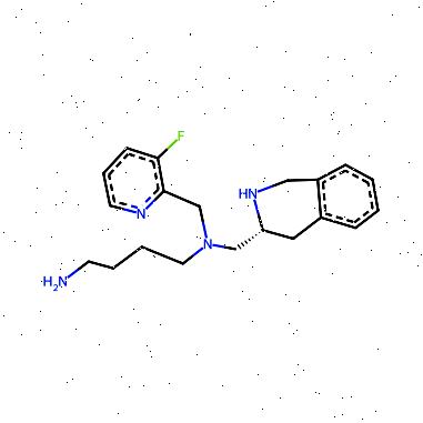 NCCCCN(Cc1ncccc1F)C[C@H]1Cc2ccccc2CN1